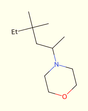 CCC(C)(C)CC(C)N1CCOCC1